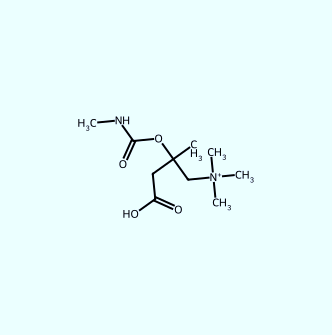 CNC(=O)OC(C)(CC(=O)O)C[N+](C)(C)C